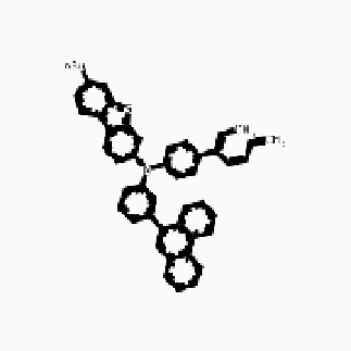 C=C/C=C\C(=C/C)c1ccc(N(c2cccc(-c3cc4ccccc4c4ccccc34)c2)c2ccc3c(c2)sc2cc(CCCC)ccc23)cc1